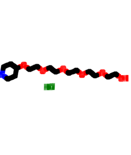 Cl.OCCOCCOCCOCCOCCOC1CCNCC1